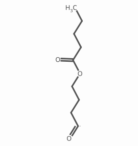 CCCCC(=O)OCCC[C]=O